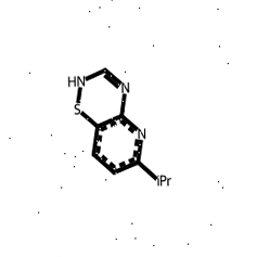 CC(C)c1ccc2c(n1)N=CNS2